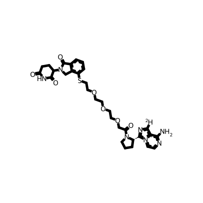 [2H]c1nc([C@@H]2CCCN2C(=O)COCCOCCOCCSc2cccc3c2CN(C2CCC(=O)NC2=O)C3=O)n2ccnc(N)c12